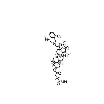 CC(=O)O[C@H](CN(CCN(C)C)Cc1ccccc1Cl)[C@@]12CC[C@]3(C)[C@H](CC[C@@H]4[C@@]5(C)CC[C@H](OC(=O)CC(C)(C)C(=O)O)C(C)(C)[C@@H]5CC[C@]43C)C1=C(C(C)C)C(=O)C2